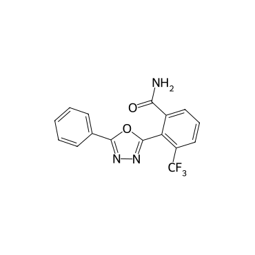 NC(=O)c1cccc(C(F)(F)F)c1-c1nnc(-c2ccccc2)o1